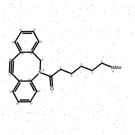 CNCCCCCC(=O)N1Cc2ccccc2C#Cc2ccccc21